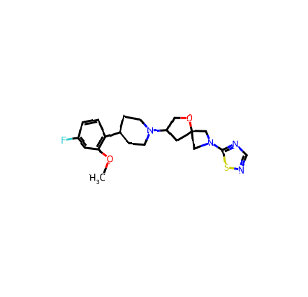 COc1cc(F)ccc1C1CCN(C2COC3(C2)CN(c2ncns2)C3)CC1